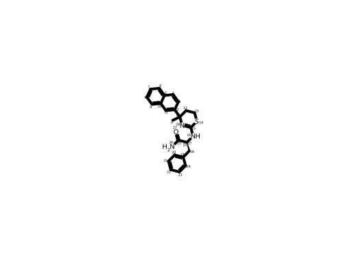 CC1(c2ccc3ccccc3c2)CCSC(N[C@@H](Cc2ccccc2)C(N)=O)=N1